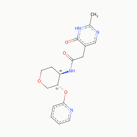 Cc1ncc(CC(=O)N[C@@H]2CCOC[C@H]2Oc2ccccn2)c(=O)[nH]1